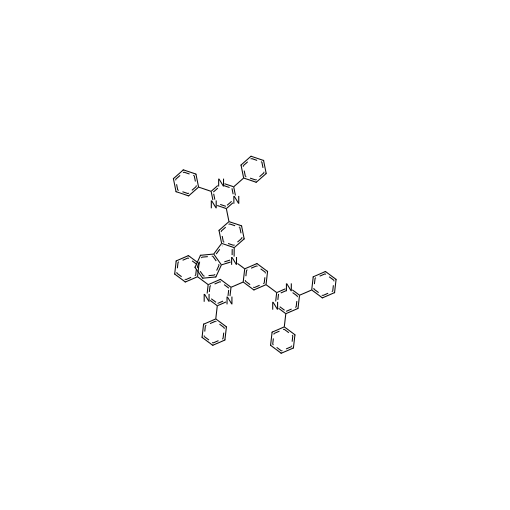 c1ccc(-c2cc(-c3ccccc3)nc(-c3ccc(-n4c5ccccc5c5cc(-c6nc(-c7ccccc7)nc(-c7ccccc7)n6)ccc54)c(-c4cc(-c5ccccc5)nc(-c5ccccc5)n4)c3)n2)cc1